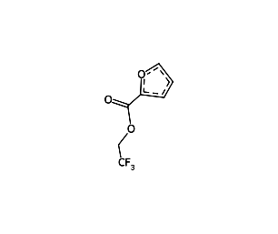 O=C(OCC(F)(F)F)c1ccco1